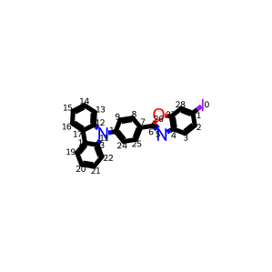 Ic1ccc2nc(-c3ccc(-n4c5ccccc5c5ccccc54)cc3)oc2c1